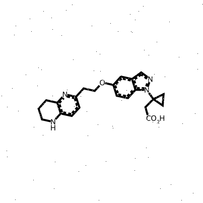 O=C(O)CC1(n2ncc3cc(OCCc4ccc5c(n4)CCCN5)ccc32)CC1